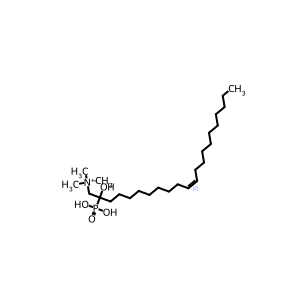 CCCCCCCCCC/C=C\CCCCCCCCC(O)(C[N+](C)(C)C)P(=O)(O)O